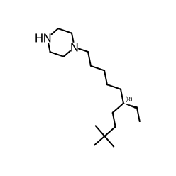 CC[C@H](CCCCCN1CCNCC1)CCC(C)(C)C